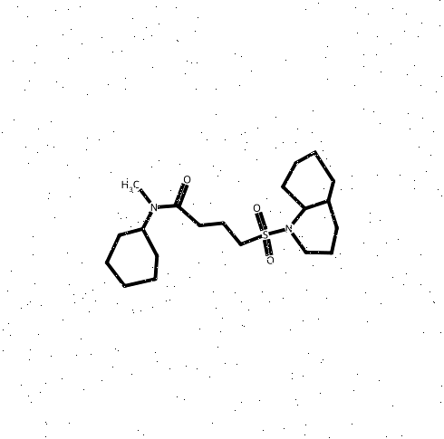 CN(C(=O)CCCS(=O)(=O)N1CCCC2CCCCC21)C1CCCCC1